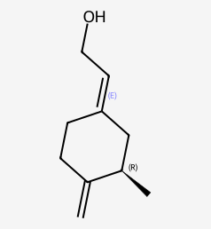 C=C1CC/C(=C\CO)C[C@H]1C